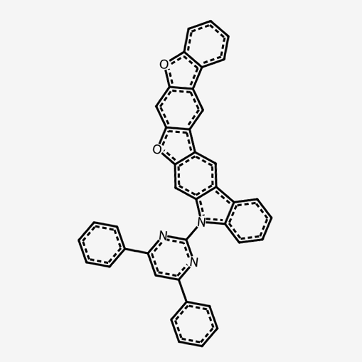 c1ccc(-c2cc(-c3ccccc3)nc(-n3c4ccccc4c4cc5c(cc43)oc3cc4oc6ccccc6c4cc35)n2)cc1